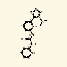 CC(C)n1cnnc1-c1cccc(NC(=O)Nc2ccccn2)n1